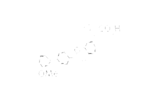 COc1cccc(-c2ccc(C3CCc4ccc([C@@H](CC(=O)O)C5CC5)cc4O3)cc2)c1